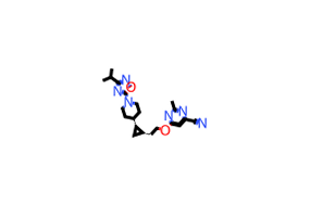 Cc1nc(C#N)cc(OCC[C@@H]2C[C@@H]2C2CCN(c3nc(C(C)C)no3)CC2)n1